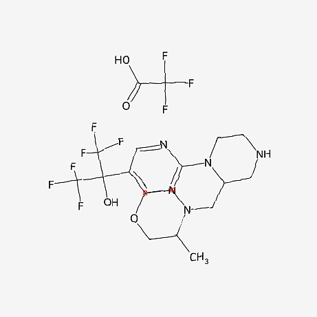 CC1COCCN1CC1CNCCN1c1ncc(C(O)(C(F)(F)F)C(F)(F)F)cn1.O=C(O)C(F)(F)F